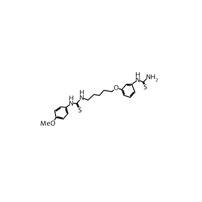 COc1ccc(NC(=S)NCCCCCOc2cccc(NC(N)=S)c2)cc1